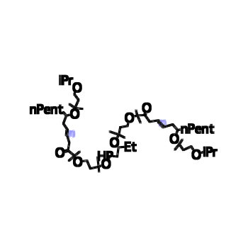 CCCCCC(C/C=C/CC(=O)C(C)(C)OCCC(C)(C)OPCC(CC)OC(C)(C)CCOC(C)(C)C(=O)C/C=C/CC(CCCCC)OC(C)(C)CCOC(C)C)OC(C)(C)CCOC(C)C